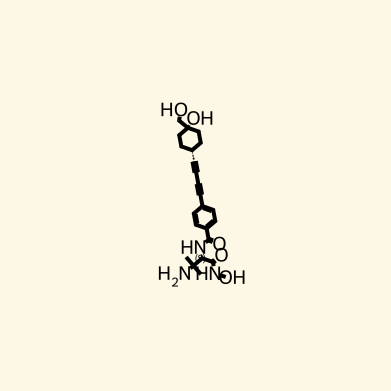 CC(C)(N)[C@H](NC(=O)c1ccc(C#CC#C[C@H]2CC[C@@](O)(CO)CC2)cc1)C(=O)NO